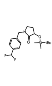 CC(C)(C)[Si](C)(C)OC1CCN(Cc2ccc(C(F)F)cc2)C1=O